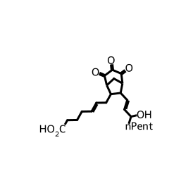 CCCCCC(O)C=CC1C2CC(C(=O)C(=O)C2=O)C1CC=CCCCC(=O)O